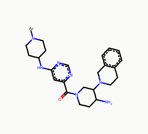 CC(=O)N1CCC(Nc2cc(C(=O)N3CCC(N)C(N4CCc5ccccc5C4)C3)ncn2)CC1